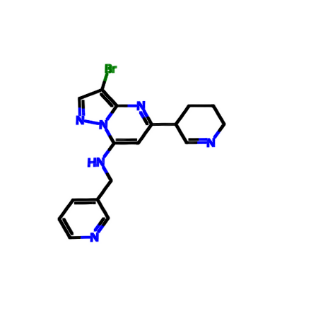 Brc1cnn2c(NCc3cccnc3)cc(C3C=NCCC3)nc12